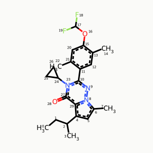 CCC(C)c1cc(C)n2nc(-c3cc(C)c(OC(F)F)cc3C)n(C3CC3)c(=O)c12